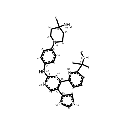 CNC(C)(C)c1cccc(-c2nc(Nc3ccc(N4CCC(C)(N)CC4)cc3)ncc2-c2cnco2)n1